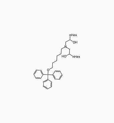 CCCCCCC(O)CN(CCCCCCOC(c1ccccc1)(c1ccccc1)c1ccccc1)CC(O)CCCCCC